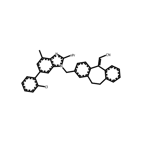 CCCc1nc2c(C)cc(-c3ccccc3Cl)cc2n1Cc1ccc2c(c1)CCc1ccccc1/C2=C\C#N